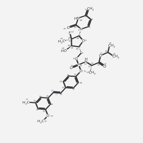 C=C1C=CN([C@@H]2O[C@H](COP(=O)(N[C@@H](C)C(=O)OC(C)C)Oc3ccc(/C=C/c4cc(C)cc(OC)c4)cc3)[C@@H](O)[C@@]2(C)F)C(=O)N1